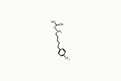 OC(O)O[SiH2]CCCCCc1ccc(C(F)(F)F)cc1